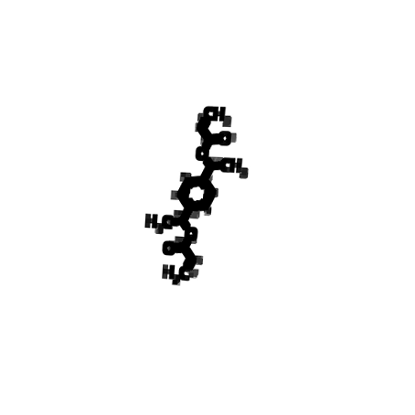 C=CC(=O)OC(C)c1ccc(C(C)OC(=O)C=C)cc1